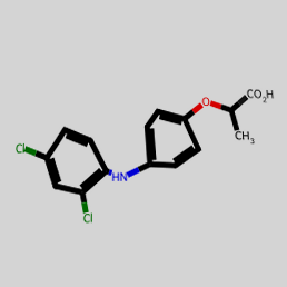 CC(Oc1ccc(Nc2ccc(Cl)cc2Cl)cc1)C(=O)O